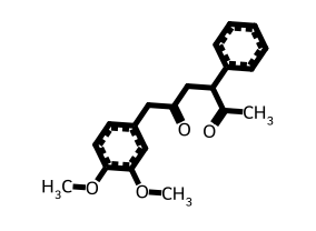 COc1ccc(CC(=O)CC(C(C)=O)c2ccccc2)cc1OC